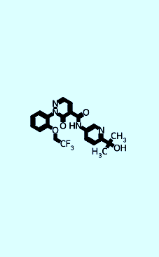 CC(C)(O)c1ccc(NC(=O)c2ccnn(-c3ccccc3OCC(F)(F)F)c2=O)cn1